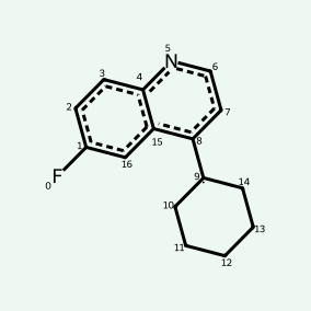 Fc1ccc2nccc([C]3CCCCC3)c2c1